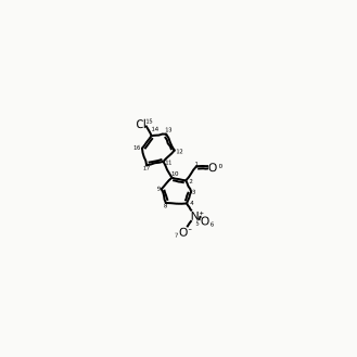 O=Cc1cc([N+](=O)[O-])ccc1-c1ccc(Cl)cc1